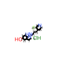 Cl.Oc1ccc2c(ccn2NCCCc2ccncc2F)c1